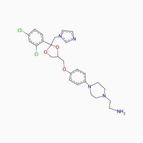 NCCN1CCN(c2ccc(OCC3COC(Cn4ccnc4)(c4ccc(Cl)cc4Cl)O3)cc2)CC1